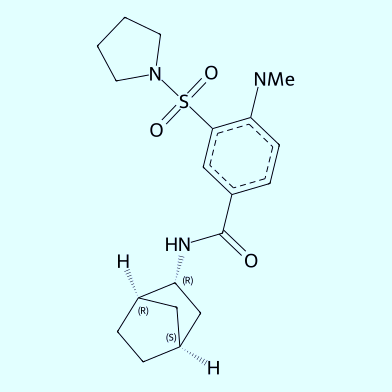 CNc1ccc(C(=O)N[C@@H]2C[C@H]3CC[C@@H]2C3)cc1S(=O)(=O)N1CCCC1